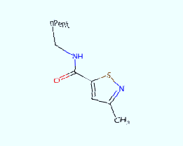 CCCCCCNC(=O)c1cc(C)ns1